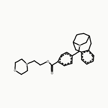 O=C(OCCN1CCOCC1)c1ccc(CN2CC3CCC2Cc2ccccc2C3)cc1